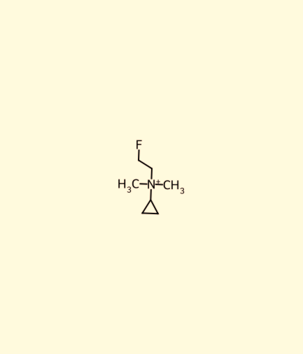 C[N+](C)(CCF)C1CC1